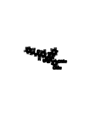 COc1cc(Nc2nc3ccccc3nc2N(c2cccc(NC(=O)CNCc3ccccc3)c2)[SH](=O)=O)cc(OC)c1